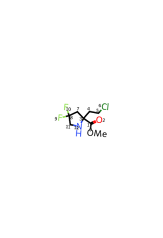 COC(=O)C1(CCCl)CC(F)(F)CN1